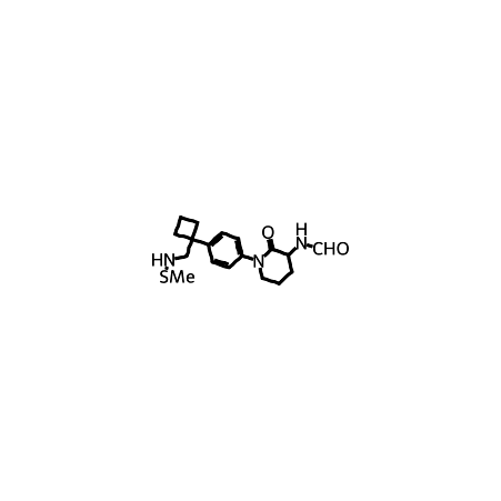 CSNCC1(c2ccc(N3CCCC(NC=O)C3=O)cc2)CCC1